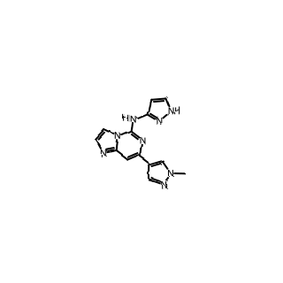 Cn1cc(-c2cc3nccn3c(Nc3cc[nH]n3)n2)cn1